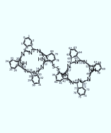 c1ccc2c(c1)-c1nc-2nc2[nH]c(nc3nc(nc4[nH]c(n1)c1ccccc41)-c1ccccc1-3)c1c(SSc3cccc4c5nc6nc(nc7[nH]c(nc8nc(nc([nH]5)c34)-c3ccccc3-8)c3ccccc73)-c3ccccc3-6)cccc21